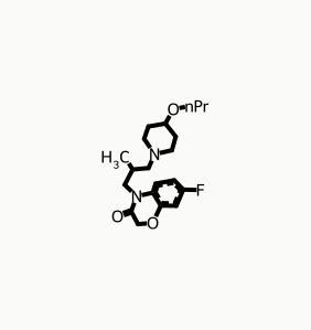 CCCOC1CCN(CC(C)CN2C(=O)COc3cc(F)ccc32)CC1